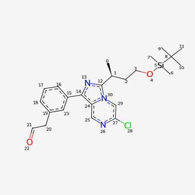 C[C@@H](CCO[Si](C)(C)C(C)(C)C)c1nc(-c2cccc(CC=O)c2)c2cnc(Cl)cn12